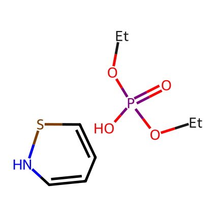 C1=CNSC=C1.CCOP(=O)(O)OCC